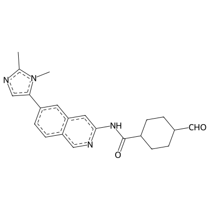 Cc1ncc(-c2ccc3cnc(NC(=O)C4CCC(C=O)CC4)cc3c2)n1C